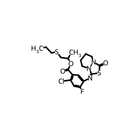 CCCSCC(C)OC(=O)c1cc(/N=c2/sc(=O)n3n2CCCC3)c(F)cc1Cl